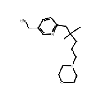 CC(C)(C)Cc1ccc(CC(C)(C)CCCN2CCOCC2)nc1